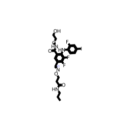 CCCNC(=O)CCO/N=C/c1cc(C(=O)NOCCO)c(Nc2ccc(I)cc2F)c(F)c1F